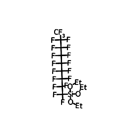 CCO[Si](OCC)(OCC)C(F)(F)C(F)(F)C(F)(F)C(F)(F)C(F)(F)C(F)(F)C(F)(F)C(F)(F)C(F)(F)F